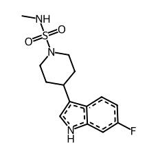 CNS(=O)(=O)N1CCC(c2c[nH]c3cc(F)ccc23)CC1